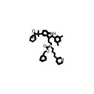 Cc1cc(C)cc(-c2[nH]c3ccc(C(C)(C)C(=O)N4C5CCC4CC5)cc3c2CCN(CCCCc2cccnc2)C(=O)OCc2ccccc2)c1